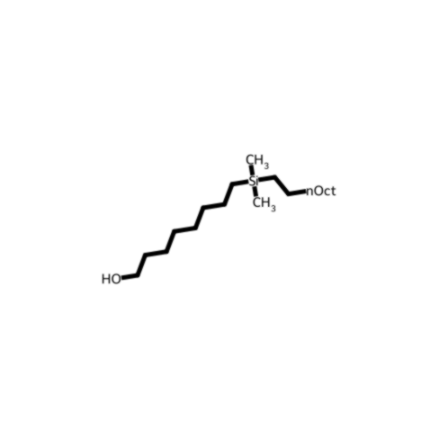 CCCCCCCCCC[Si](C)(C)CCCCCCCCO